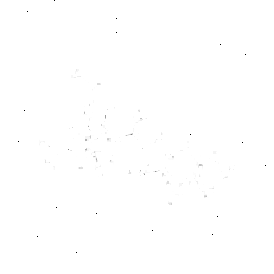 CC(=O)N[C@H]1[C@H](OCC(O)[C@H]2O[C@@H]3OC(C)(C)O[C@@H]3[C@H]2OCCC(C)C)O[C@H](CO)[C@@H](O)[C@@H]1O